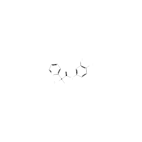 CC(O)(C(=O)Nc1ccc(Cl)c(Cl)c1)c1ccccn1